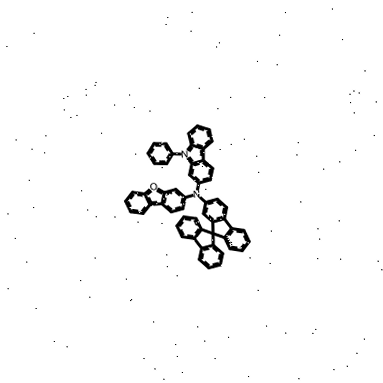 c1ccc(-n2c3ccccc3c3ccc(N(c4ccc5c(c4)C4(c6ccccc6-c6ccccc64)c4ccccc4-5)c4ccc5c(c4)oc4ccccc45)cc32)cc1